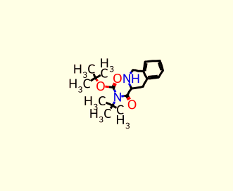 CC(C)(C)OC(=O)N(C(=O)C1Cc2ccccc2CN1)C(C)(C)C